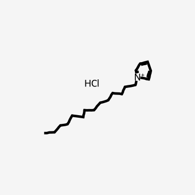 CCCCCCCCCCCCCC[n+]1ccccc1.Cl